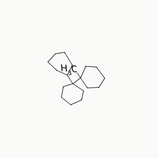 CC1(C2(C3CCCCC3)CCCCC2)CCCCC1